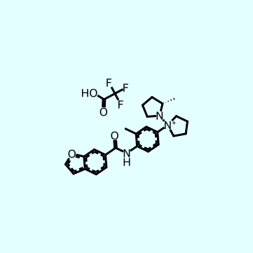 Cc1cc([N+]2(N3CCC[C@@H]3C)CCCC2)ccc1NC(=O)c1ccc2ccoc2c1.O=C(O)C(F)(F)F